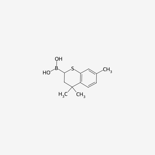 Cc1ccc2c(c1)SC(B(O)O)CC2(C)C